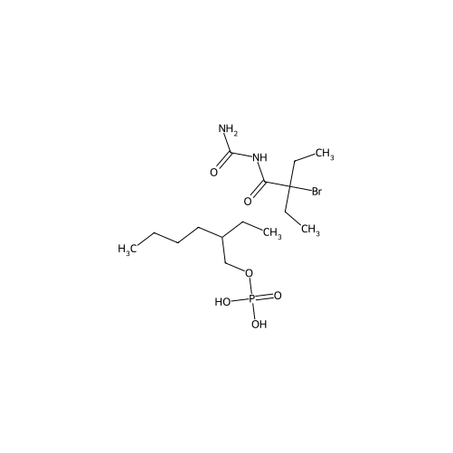 CCC(Br)(CC)C(=O)NC(N)=O.CCCCC(CC)COP(=O)(O)O